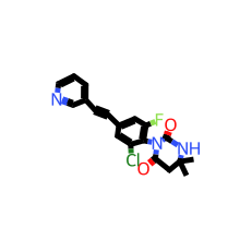 CC1(C)CC(=O)N(c2c(F)cc(C#Cc3cccnc3)cc2Cl)C(=O)N1